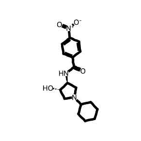 O=C(N[C@H]1CN(C2CCCCC2)C[C@@H]1O)c1ccc([N+](=O)[O-])cc1